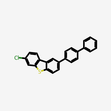 Clc1ccc2c(c1)sc1ccc(-c3ccc(-c4ccccc4)cc3)cc12